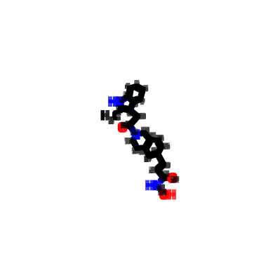 Cc1[nH]c2ccccc2c1CC(=O)N1CCc2cc(C=CC(=O)NO)ccc2C1